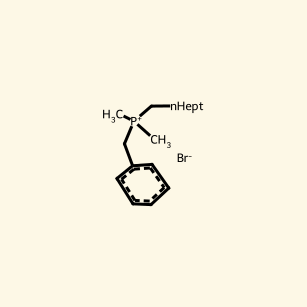 CCCCCCCC[P+](C)(C)Cc1ccccc1.[Br-]